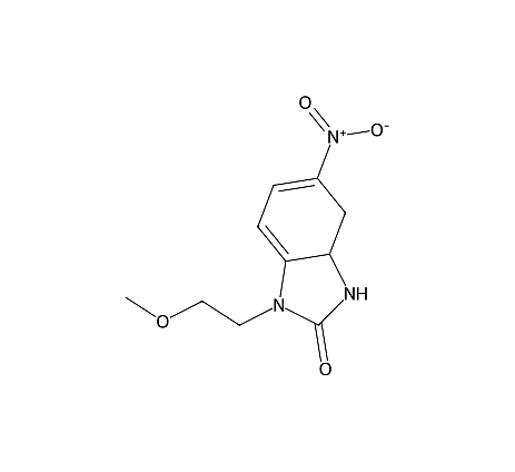 COCCN1C(=O)NC2CC([N+](=O)[O-])=CC=C21